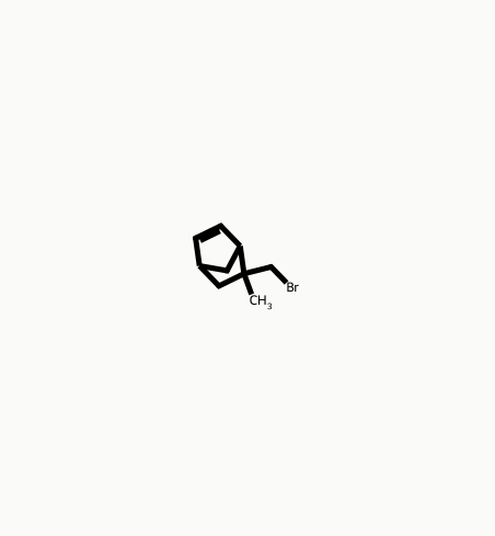 CC1(CBr)CC2C=CC1C2